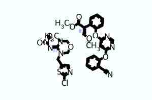 CN1COCN(Cc2cnc(Cl)s2)/C1=N/[N+](=O)[O-].CO/C=C(/C(=O)OC)c1ccccc1Oc1cc(Oc2ccccc2C#N)ncn1